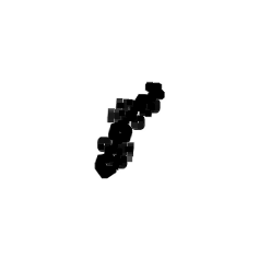 CC(C)(C)c1cc(NC(=O)Nc2ccc(NC(=O)c3cccc[n+]3[O-])cc2)no1